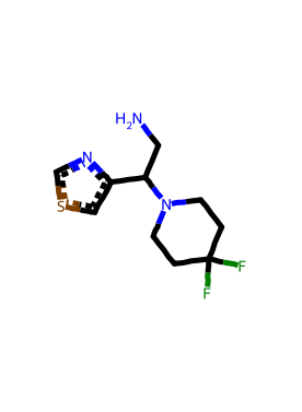 NCC(c1cscn1)N1CCC(F)(F)CC1